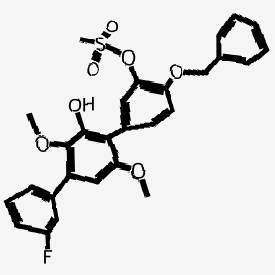 COc1cc(-c2cccc(F)c2)c(OC)c(O)c1-c1ccc(OCc2ccccc2)c(OS(C)(=O)=O)c1